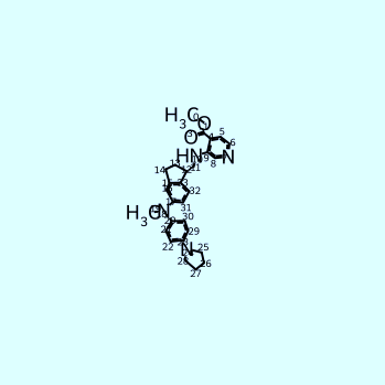 COC(=O)c1ccncc1NC[C@@H]1CCc2cc(N(C)c3ccc(N4CCCC4)cc3)ccc21